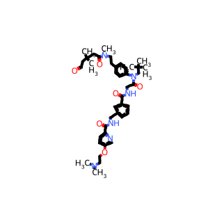 CN(C)CCOc1ccc(C(=O)NCc2cccc(C(=O)NCC(=O)N(CC(C)(C)C)c3ccc(CCN(C)C(=O)CC(C)(C)CC=O)cc3)c2)nc1